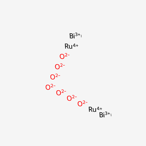 [Bi+3].[Bi+3].[O-2].[O-2].[O-2].[O-2].[O-2].[O-2].[O-2].[Ru+4].[Ru+4]